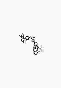 CCN(CC)C(=O)c1ccc(NC2CN(C3CCN(C(=O)[C@@](O)(c4ccccc4)C(F)(F)F)CC3)C2)cc1Cl